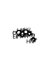 CCN1C(=O)CC[C@@H]2[C@H]3CC[C@]4(C)C[C@@H](Oc5cc[nH]c5)C[C@H]4[C@@H]3CC[C@H]21